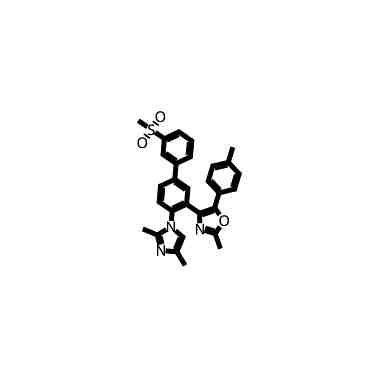 Cc1ccc(-c2oc(C)nc2-c2cc(-c3cccc(S(C)(=O)=O)c3)ccc2-n2cc(C)nc2C)cc1